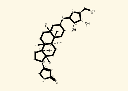 C[C@]12CC[C@H](OC3O[C@@H](CO)[C@H](O)[C@@H]3O)C[C@H]1CC[C@@H]1[C@@H]2CC[C@]2(C)[C@@H](C3=CC(=O)OC3)CC[C@@H]12